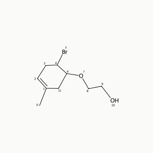 CC1=CCC(Br)C(OCCO)C1